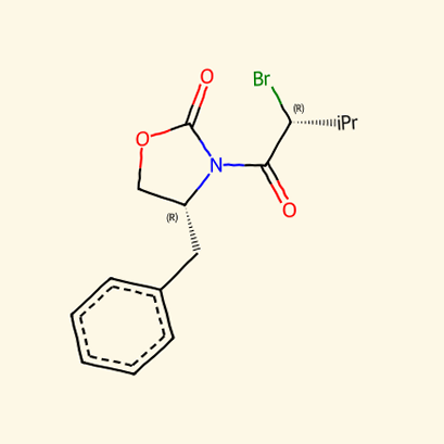 CC(C)[C@@H](Br)C(=O)N1C(=O)OC[C@H]1Cc1ccccc1